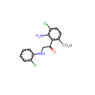 Nc1c(Cl)ccc(C(=O)O)c1C(=O)CNc1ccccc1F